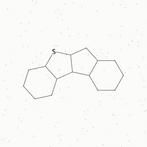 C1CCC2C(C1)CC1SC3CCCCC3C12